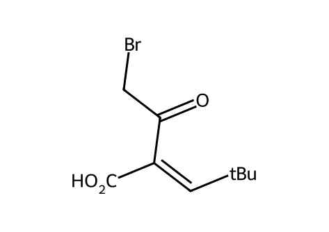 CC(C)(C)C=C(C(=O)O)C(=O)CBr